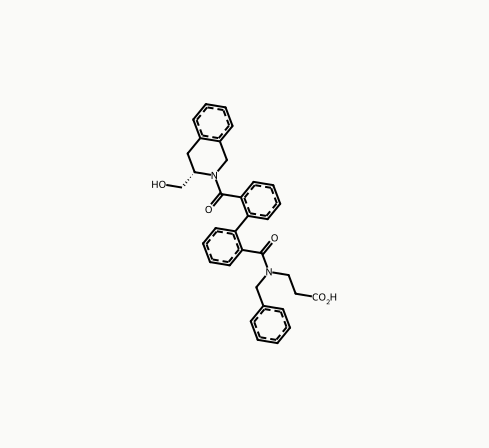 O=C(O)CCN(Cc1ccccc1)C(=O)c1ccccc1-c1ccccc1C(=O)N1Cc2ccccc2C[C@H]1CO